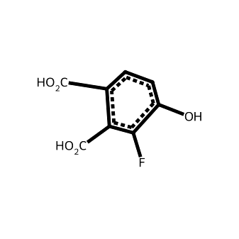 O=C(O)c1ccc(O)c(F)c1C(=O)O